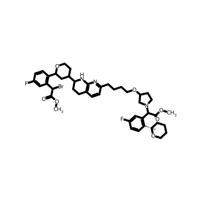 COC(=O)C(Br)c1cc(F)ccc1C1CC(C2CCc3ccc(CCCCOC4CCN(C(C(=O)OC)c5cc(F)ccc5[C@@H]5CCCCO5)C4)nc3N2)CCO1